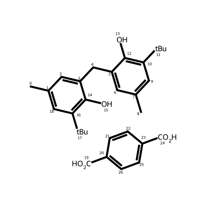 Cc1cc(Cc2cc(C)cc(C(C)(C)C)c2O)c(O)c(C(C)(C)C)c1.O=C(O)c1ccc(C(=O)O)cc1